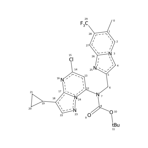 Cc1cn2cc(CN(C(=O)OC(C)(C)C)c3cc(Cl)nc4c(C5CC5)cnn34)nc2cc1C(F)(F)F